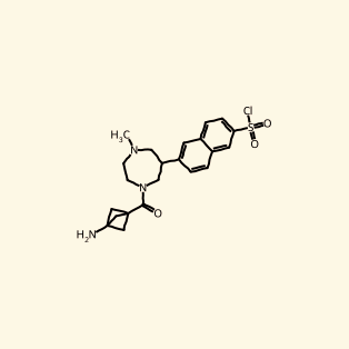 CN1CCN(C(=O)C23CC(N)(C2)C3)CC(c2ccc3cc(S(=O)(=O)Cl)ccc3c2)C1